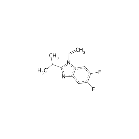 C=Cn1c(C(C)C)nc2cc(F)c(F)cc21